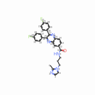 Cc1nccn1CCCNC(=O)c1ccc2nc(-c3ccc(F)cc3)c(-c3ccc(F)cc3)nc2c1